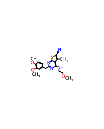 COCCNc1nc(Cc2ccc(OC)c(OC)c2)nc2sc(C#N)c(C)c12